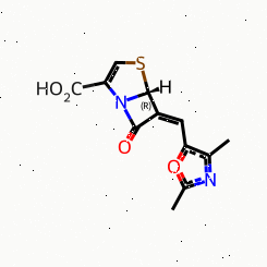 Cc1nc(C)c(C=C2C(=O)N3C(C(=O)O)=CS[C@H]23)o1